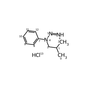 CC(C)CN(N=N)c1ccccc1.Cl